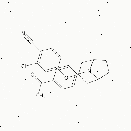 CC(=O)c1ccc(N2C3CCC2CC(Oc2ccc(C#N)c(Cl)c2)C3)cc1